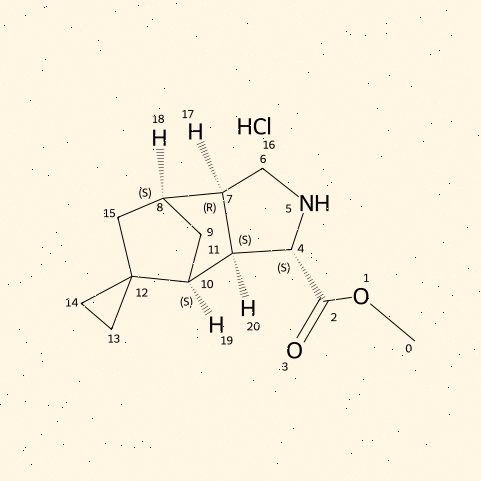 COC(=O)[C@H]1NC[C@@H]2[C@H]3C[C@@H]([C@@H]21)C1(CC1)C3.Cl